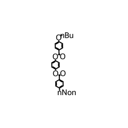 CCCCCCCCCc1ccc(C(=O)Oc2ccc(OC(=O)c3ccc(OCCCC)cc3)cc2)cc1